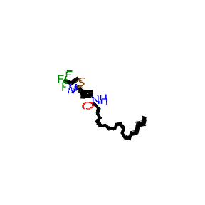 CCCCC/C=C\C/C=C\C/C=C\C/C=C\CCCC(=O)NC12CC(c3nc(C(F)(F)F)cs3)(C1)C2